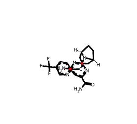 NC(=O)c1cc(N)nc(N2[C@@H]3CC[C@H]2CC(Oc2ccc(C(F)(F)F)cn2)C3)n1